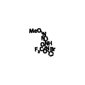 COCCN(C)c1ccc(NC(=O)c2nc(-c3ccccc3Br)oc2C(F)(F)F)cn1